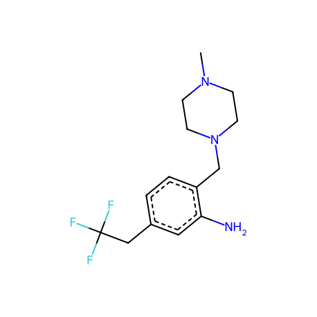 CN1CCN(Cc2ccc(CC(F)(F)F)cc2N)CC1